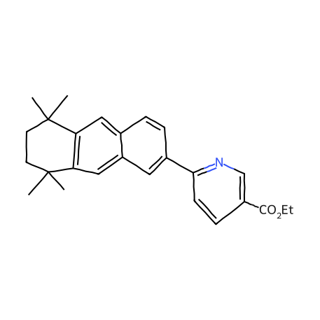 CCOC(=O)c1ccc(-c2ccc3cc4c(cc3c2)C(C)(C)CCC4(C)C)nc1